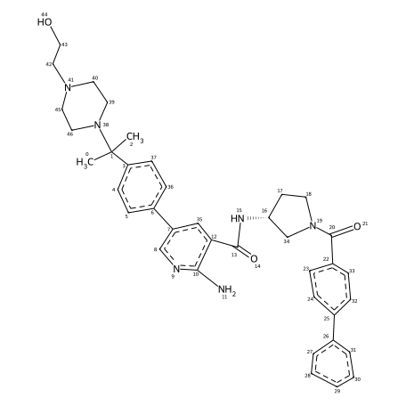 CC(C)(c1ccc(-c2cnc(N)c(C(=O)N[C@@H]3CCN(C(=O)c4ccc(-c5ccccc5)cc4)C3)c2)cc1)N1CCN(CCO)CC1